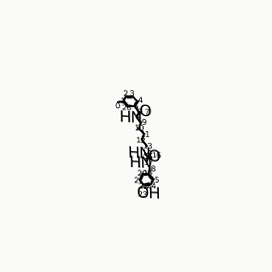 Cc1cccc(C(=O)NCCCCCNC(=O)NCc2ccc(O)cc2)c1